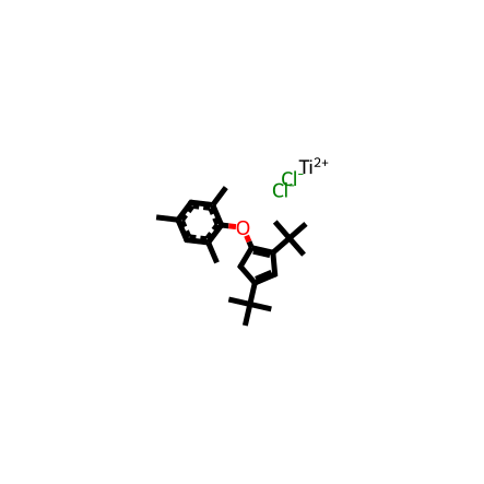 Cc1cc(C)c(OC2=C(C(C)(C)C)C=C(C(C)(C)C)C2)c(C)c1.[Cl-].[Cl-].[Ti+2]